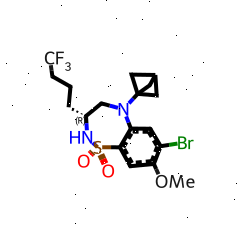 COc1cc2c(cc1Br)N(C13CC(C1)C3)C[C@@H](CCCC(F)(F)F)NS2(=O)=O